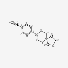 [C-]#[N+]c1ccc(C2=CCC3(CC2)OCCO3)cc1